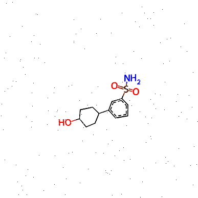 NS(=O)(=O)c1cccc(C2CCC(O)CC2)c1